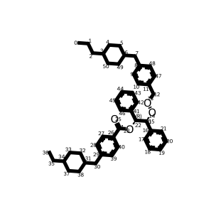 CCCC1CCC(Cc2ccc(COO[C@H](c3ccccc3)[C@H](OC(=O)c3ccc(CC4CCC(CC)CC4)cc3)c3ccccc3)cc2)CC1